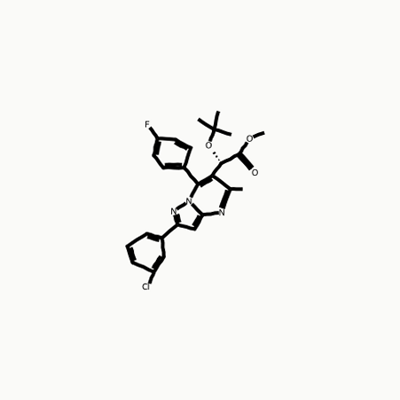 COC(=O)[C@@H](OC(C)(C)C)c1c(C)nc2cc(-c3cccc(Cl)c3)nn2c1-c1ccc(F)cc1